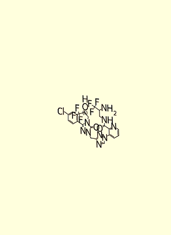 NC(CNC(=O)c1ncccc1-n1cnc(Cn2nc(-c3ccc(Cl)cc3)n(C[C@H](O)C(F)(F)F)c2=O)n1)C(F)(F)F